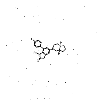 CCN1C(=O)Cc2cc(N3CC[C@H]4CCC[C@@H]4C3)cc(-c3ccc(F)cc3)c21